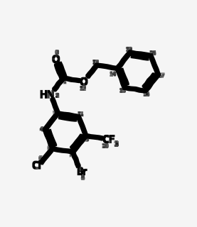 O=C(Nc1cc(Cl)c(Br)c(C(F)(F)F)c1)OCc1ccccc1